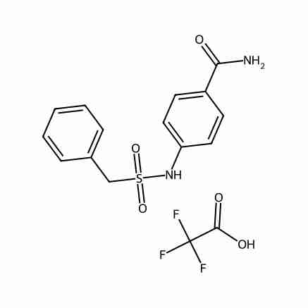 NC(=O)c1ccc(NS(=O)(=O)Cc2ccccc2)cc1.O=C(O)C(F)(F)F